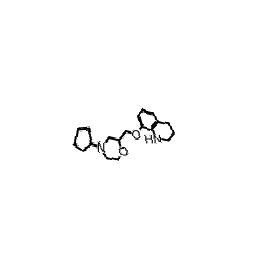 c1cc2c(c(OCC3CN(C4CCCC4)CCO3)c1)NCCC2